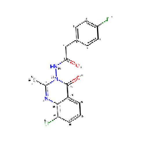 O=C(Cc1ccc(F)cc1)Nn1c(C(F)(F)F)nc2c(Cl)cccc2c1=O